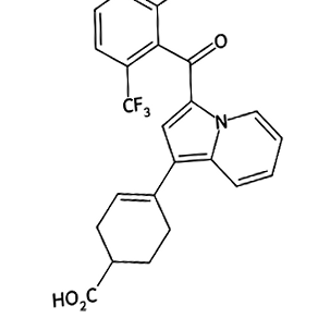 O=C(c1c(Cl)cccc1C(F)(F)F)c1cc(C2=CCC(C(=O)O)CC2)c2ccccn12